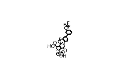 O=C1CN(c2ccc(-c3cccc(OC(F)(F)F)c3)cc2F)C(=O)C2=C1C(S(=O)(=O)O)SC2C(=O)O